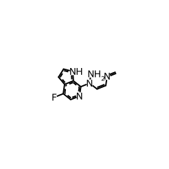 C=N/C=C\N(N)c1ncc(F)c2cc[nH]c12